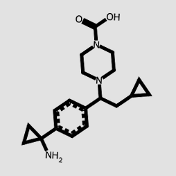 NC1(c2ccc(C(CC3CC3)N3CCN(C(=O)O)CC3)cc2)CC1